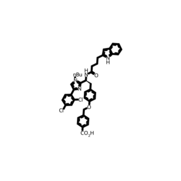 CCCCn1cc(-c2ccc(Cl)cc2Cl)nc1[C@H](Cc1ccc(OCc2ccc(C(=O)O)cc2)cc1)NC(=O)CCCc1cc2ccccc2[nH]1